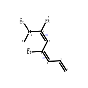 C=C/C=C(\C=C(\CC)N(C)CC)CC